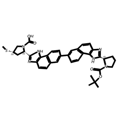 CS[C@H]1C[C@@H](c2nc3ccc4cc(-c5ccc6c(ccc7nc([C@@H]8CCCN8C(=O)OC(C)(C)C)[nH]c76)c5)ccc4c3[nH]2)N(C(=O)O)C1